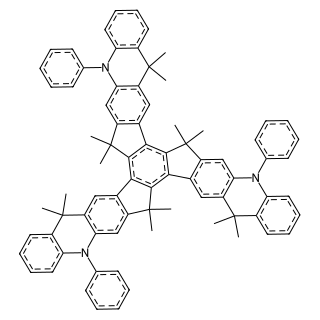 CC1(C)c2ccccc2N(c2ccccc2)c2cc3c(cc21)-c1c2c(c4c(c1C3(C)C)-c1cc3c(cc1C4(C)C)N(c1ccccc1)c1ccccc1C3(C)C)-c1cc3c(cc1C2(C)C)N(c1ccccc1)c1ccccc1C3(C)C